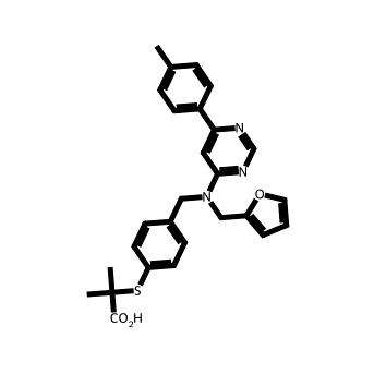 Cc1ccc(-c2cc(N(Cc3ccc(SC(C)(C)C(=O)O)cc3)Cc3ccco3)ncn2)cc1